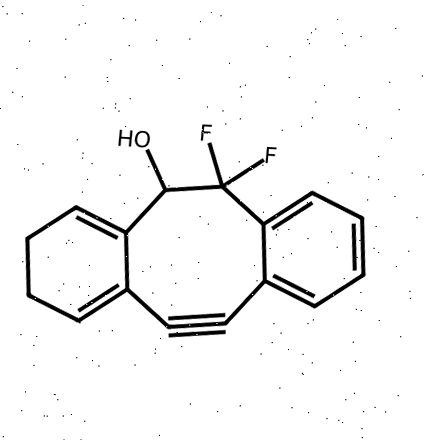 OC1C2=CCCC=C2C#Cc2ccccc2C1(F)F